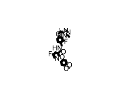 Cc1nnc([C@@H](C)Oc2ccc(CNC(=O)c3cc(F)cnc3Oc3ccc4c(c3)OCO4)c(F)c2)[nH]1